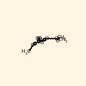 C=C(C)C(=O)OCCCCCCCOc1ccc(C(=O)Oc2ccc(-c3ccc(OCCCCCC)cc3)cc2[N+](=O)[O-])cc1